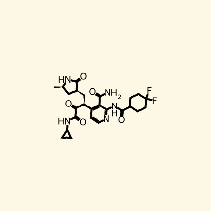 C[C@@H]1C[C@H](C[C@H](C(=O)C(=O)NC2CC2)c2ccnc(NC(=O)C3CCC(F)(F)CC3)c2C(N)=O)C(=O)N1